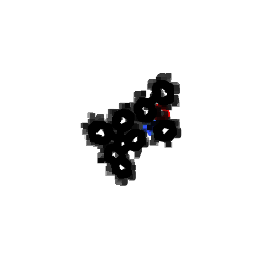 c1ccc(N(c2ccc3c(c2)C(c2ccccc2)(c2ccccc2)c2ccc4ccccc4c2-3)c2cccc3c2oc2ccccc23)cc1